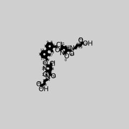 COc1nc(OCc2cccc(-c3cccc(COc4nc5on(CCCC(=O)O)c(=O)c5cc4Cl)c3C)c2C)c(Cl)cc1C(=O)NCCCC(=O)O